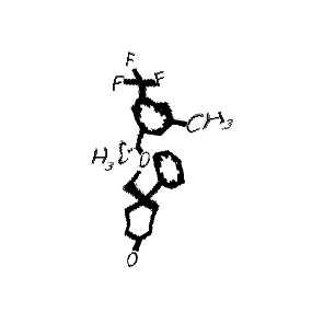 Cc1cc([C@@H](C)OCC2(c3ccccc3)CCC(=O)CC2)cc(C(F)(F)F)c1